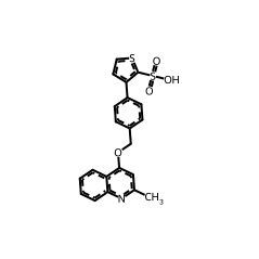 Cc1cc(OCc2ccc(-c3ccsc3S(=O)(=O)O)cc2)c2ccccc2n1